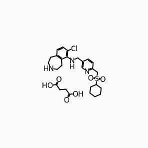 O=C(O)CCC(=O)O.O=S(=O)(Cc1ccc(CNc2c(Cl)ccc3c2CCNCC3)cn1)C1CCCCC1